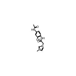 CC(=O)Nc1ccc(NC(=O)Cn2cc[n+](C)c2)c(O)c1